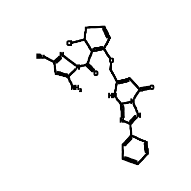 CCC(C)c1cc(N)n(C(=O)C2=C(OCc3cc(=O)n4nc(-c5ccccc5)nc4[nH]3)C=CCC2Cl)n1